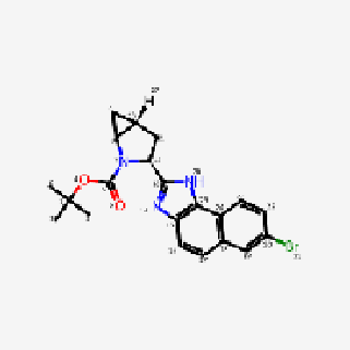 CC(C)(C)OC(=O)N1C2C[C@@H]2C[C@H]1c1nc2ccc3cc(Br)ccc3c2[nH]1